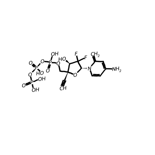 C#C[C@]1(COP(=O)(O)OP(=O)(O)OP(=O)(O)O)O[C@@H](N2C=CC(N)=CC2=C)C(F)(F)[C@@H]1O